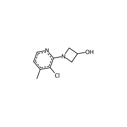 Cc1ccnc(N2CC(O)C2)c1Cl